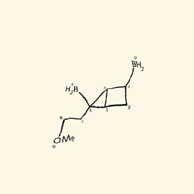 BC1CC2C1C2(B)CCOC